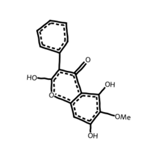 COc1c(O)cc2oc(O)c(-c3ccccc3)c(=O)c2c1O